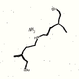 CC(CCNCCC(C)CC(C)(C)C)CC(C)(C)C.N